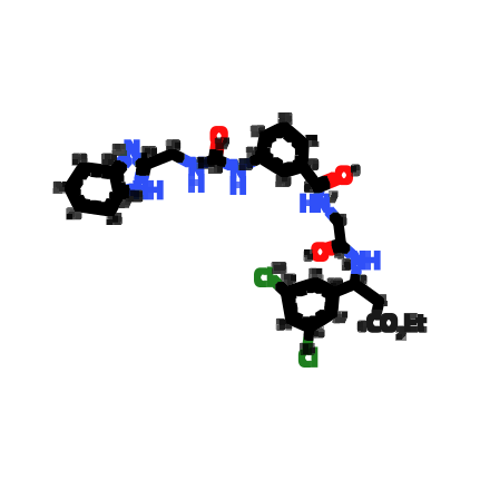 CCOC(=O)CC(NC(=O)CNC(=O)c1cccc(NC(=O)NCc2nc3ccccc3[nH]2)c1)c1cc(Cl)cc(Cl)c1